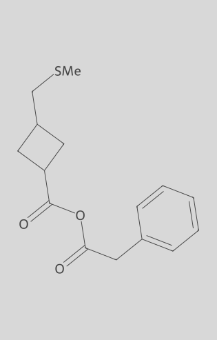 CSCC1CC(C(=O)OC(=O)Cc2ccccc2)C1